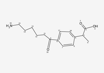 CC(C(=O)O)c1ccc(C(=O)CCCCCN)cc1